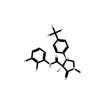 CN1C[C@H](c2ccc(C(F)(F)F)cc2)[C@](C)(C(=O)Nc2cccc(F)c2F)C1=O